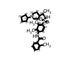 Cc1ccccc1C(=O)Nc1ccc(S(=O)(=O)N[C@H](C)C2CCN(C3CCCC3)CC2)c(C)c1C